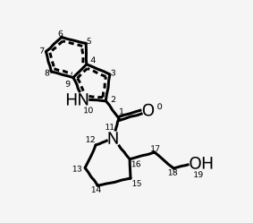 O=C(c1cc2ccccc2[nH]1)N1CCCCC1CCO